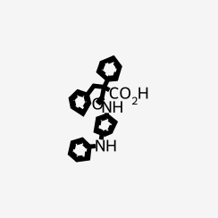 O=C(O)C(Cc1ccccc1)(C(=O)Nc1ccc(Nc2ccccc2)cc1)c1ccccc1